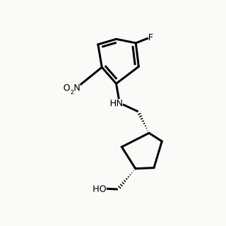 O=[N+]([O-])c1ccc(F)cc1NC[C@@H]1CC[C@H](CO)C1